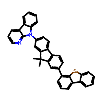 CC1(C)c2cc(-c3cccc4c3sc3ccccc34)ccc2-c2ccc(-n3c4ccccc4c4cccnc43)cc21